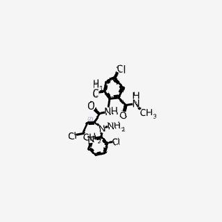 C=C(Cl)/C=C(/C(=O)Nc1c(C)cc(Cl)cc1C(=O)NC)N(N)c1ncccc1Cl